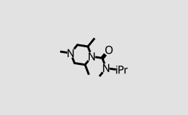 CC(C)N(C)C(=O)N1C(C)CN(C)CC1C